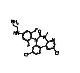 CN1C(=O)N(c2c(F)cc(NCCN)cc2F)c2cc(Cl)ccc2-c2cc(Cl)cnc21